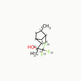 CC1CC2CC1CC2C(C)(O)C(F)(F)F